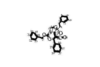 CO[P@](=O)(CCc1ccccc1)[C@@H](NC(=O)OCc1ccccc1)C(=C=O)Cc1ccccc1